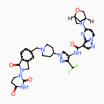 O=C1CCN(N2Cc3cc(CN4CCC(n5cc(NC(=O)c6cnn7ccc(N8C[C@H]9C[C@@H]8CO9)nc67)c(C(F)F)n5)CC4)ccc3C2=O)C(=O)N1